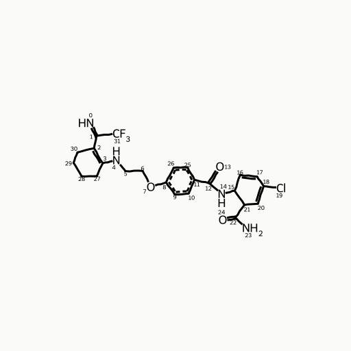 N=C(C1=C(NCCOc2ccc(C(=O)NC3C=CC(Cl)=CC3C(N)=O)cc2)CCCC1)C(F)(F)F